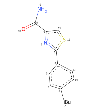 CCC(C)c1ccc(-c2nc(C(N)=O)cs2)cc1